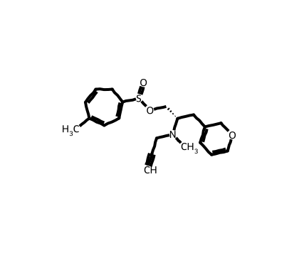 C#CCN(C)[C@H](COS(=O)C1=CC=C(C)C=CC1)CC1=CC=COC1